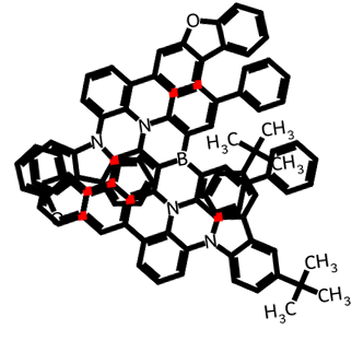 CC(C)(C)c1ccc2c(c1)c1cc(C(C)(C)C)ccc1n2-c1cccc(-c2ccc3c(c2)oc2ccccc23)c1N1c2ccc(-c3ccccc3)cc2B2c3cc(-c4ccccc4)ccc3N(c3c(-c4ccc5c(c4)oc4ccccc45)cccc3-n3c4ccccc4c4ccccc43)c3cc(-c4ccccc4)cc1c32